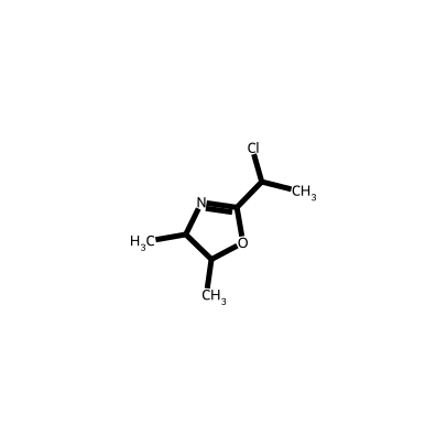 CC(Cl)C1=NC(C)C(C)O1